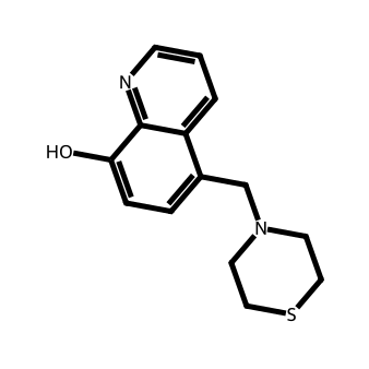 Oc1ccc(CN2CCSCC2)c2cccnc12